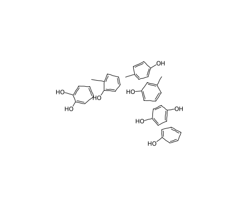 Cc1ccc(O)cc1.Cc1cccc(O)c1.Cc1ccccc1O.Oc1ccc(O)cc1.Oc1ccccc1.Oc1ccccc1O